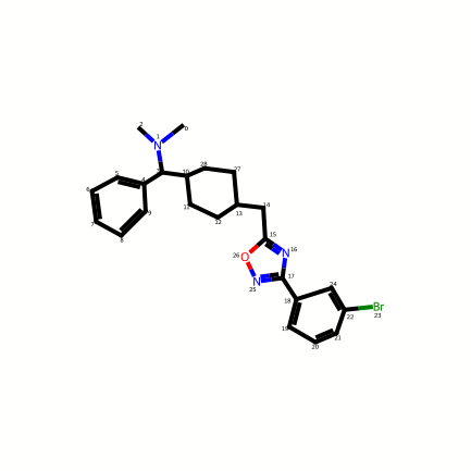 CN(C)C(c1ccccc1)C1CCC(Cc2nc(-c3cccc(Br)c3)no2)CC1